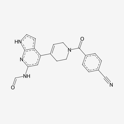 N#Cc1ccc(C(=O)N2CC=C(c3cc(NC=O)nc4[nH]ccc34)CC2)cc1